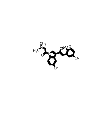 COc1ccc(C#N)cc1C=C(C#N)c1cn(C(=O)CN(C)C)c2ccc(Br)cc12